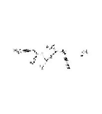 C=CC(=O)OC(C)SC(C)OC(=O)C=C